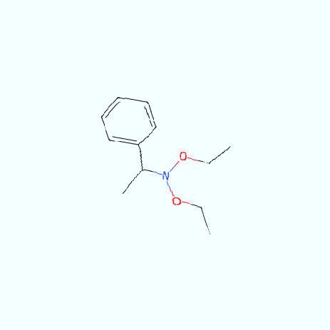 CCON(OCC)C(C)c1ccccc1